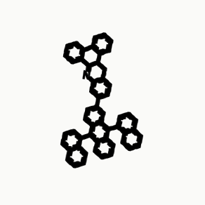 c1ccc2c(c1)C1=Nc3cc(-c4ccc5c(-c6cccc7ccccc67)c6ccccc6c(-c6cccc7ccccc67)c5c4)ccc3CC1c1ccccc1-2